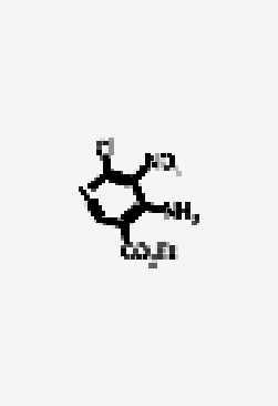 CCOC(=O)c1cnc(Cl)c([N+](=O)[O-])c1N